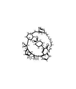 C[C@H]1Nc2ncnc3c2cc(C2CCS(=O)(=O)CC2)c(=O)n3CCCCCn2cc(nn2)CN2CCC(CC2)C(F)(F)c2cccc1c2F